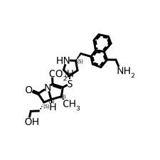 C[C@H]1C(S[C@@H]2CN[C@@H](Cc3ccc(CN)c4ccccc34)C2)=C(C(=O)O)N2C(=O)[C@@H](CCO)[C@@H]12